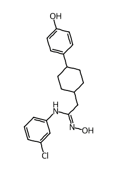 O/N=C(\CC1CCC(c2ccc(O)cc2)CC1)Nc1cccc(Cl)c1